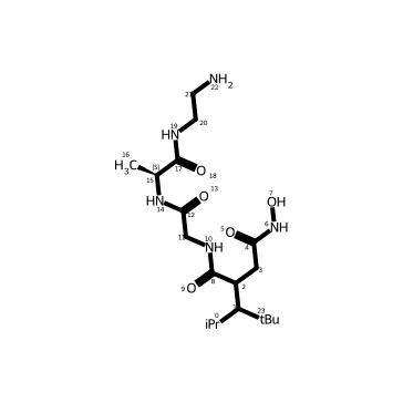 CC(C)C(C(CC(=O)NO)C(=O)NCC(=O)N[C@@H](C)C(=O)NCCN)C(C)(C)C